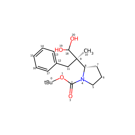 CC(C)(C)OC(=O)N1CCC[C@H]1[C@@](C)(Cc1ccccc1)C(O)O